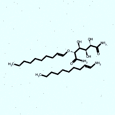 CCCCCCCC/C=C/N.CCCCCCCC/C=C/O[C@@H](C(N)=O)[C@@H](O)[C@H](O)[C@H](O)C(N)=O